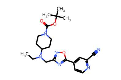 CCN(Cc1noc(-c2ccnc(C#N)c2)n1)C1CCN(C(=O)OC(C)(C)C)CC1